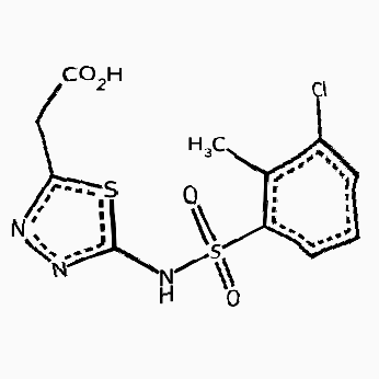 Cc1c(Cl)cccc1S(=O)(=O)Nc1nnc(CC(=O)O)s1